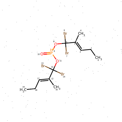 CC/C=C(\C)C(Br)(Br)O[PH](=O)OC(Br)(Br)/C(C)=C/CC